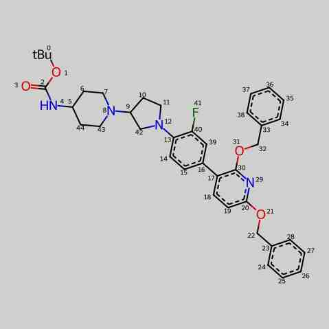 CC(C)(C)OC(=O)NC1CCN(C2CCN(c3ccc(-c4ccc(OCc5ccccc5)nc4OCc4ccccc4)cc3F)C2)CC1